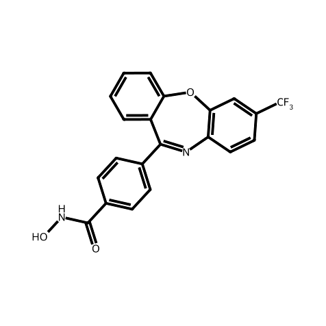 O=C(NO)c1ccc(C2=Nc3ccc(C(F)(F)F)cc3Oc3ccccc32)cc1